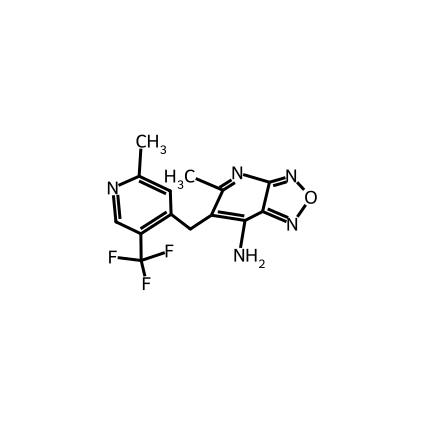 Cc1cc(Cc2c(C)nc3nonc3c2N)c(C(F)(F)F)cn1